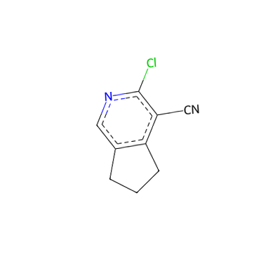 N#Cc1c(Cl)ncc2c1CCC2